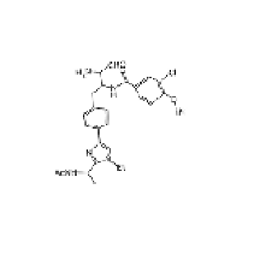 CCn1cc(-c2ccc(CC(NC(=O)c3ccc(OC(C)C)c(Cl)c3)C(N)C=O)cc2)nc1C(C)NC(C)=O